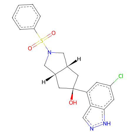 O=S(=O)(c1ccccc1)N1C[C@@H]2C[C@](O)(c3cc(Cl)cc4[nH]ncc34)C[C@@H]2C1